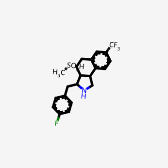 CS(=O)(=O)O.Fc1ccc(CC2NCC3c4ccc(C(F)(F)F)cc4CCC23)cc1